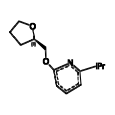 CC(C)c1cccc(OC[C@H]2CCCO2)n1